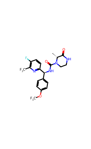 C[C@@H]1C(=O)NCCN1C(=O)N[C@@H](c1ccc(OC(F)(F)F)cc1)c1ccc(F)c(C(F)(F)F)n1